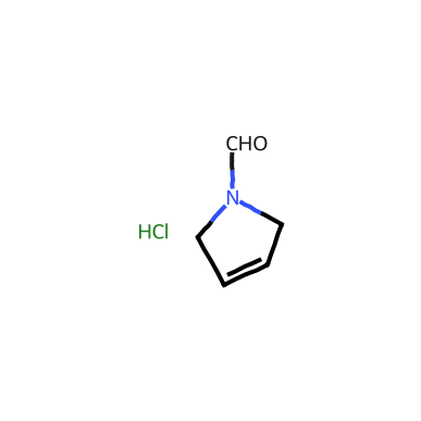 Cl.O=CN1CC=CC1